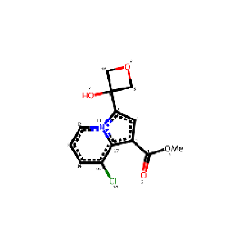 COC(=O)c1cc(C2(O)COC2)n2cccc(Cl)c12